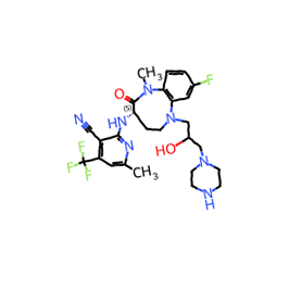 Cc1cc(C(F)(F)F)c(C#N)c(N[C@H]2CCN(CC(O)CN3CCNCC3)c3cc(F)ccc3N(C)C2=O)n1